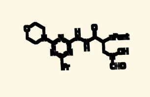 CCCCCC(CN(O)C=O)C(=O)NNc1nc(C(C)C)nc(N2CCOCC2)n1